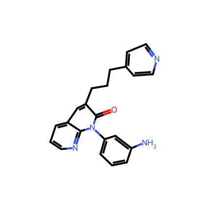 Nc1cccc(-n2c(=O)c(CCCc3ccncc3)cc3cccnc32)c1